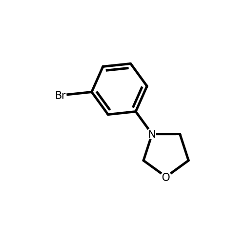 Brc1cccc(N2CCOC2)c1